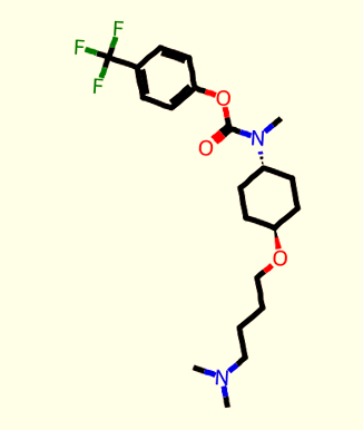 CN(C)CCCCO[C@H]1CC[C@H](N(C)C(=O)Oc2ccc(C(F)(F)F)cc2)CC1